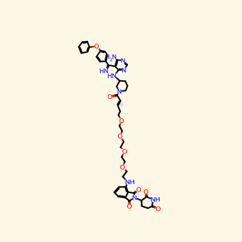 N=C(c1ccc(Oc2ccccc2)cc1)c1c(N)ncnc1NC1CCCN(C(=O)/C=C/CCOCCOCCOCCOCCNc2cccc3c2C(=O)N(C2CCC(=O)NC2=O)C3=O)C1